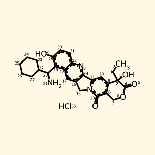 CCC1(O)C(=O)OCc2c1cc1n(c2=O)Cc2cc3c(C(N)C4CCCCC4)c(O)ccc3nc2-1.Cl